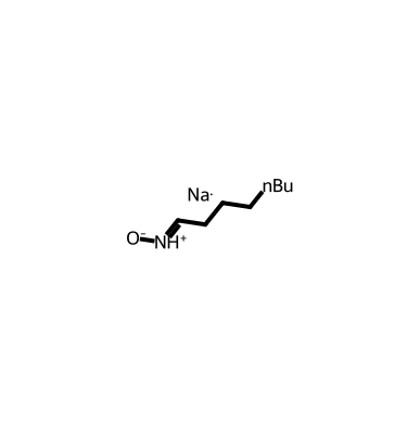 CCCCCCCC=[NH+][O-].[Na]